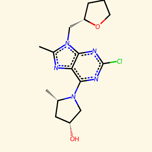 Cc1nc2c(N3C[C@H](O)C[C@@H]3C)nc(Cl)nc2n1C[C@@H]1CCCO1